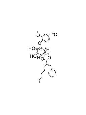 CCCCCCC(=Cc1ccccc1)C1OC[C@H]2O[C@@H](Oc3ccc(C=O)cc3OC)[C@H](O)[C@@H](O)[C@@H]2O1